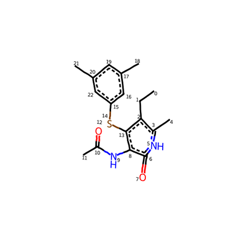 CCc1c(C)[nH]c(=O)c(NC(C)=O)c1Sc1cc(C)cc(C)c1